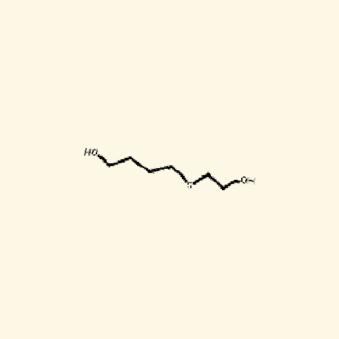 OCCCCSCCO